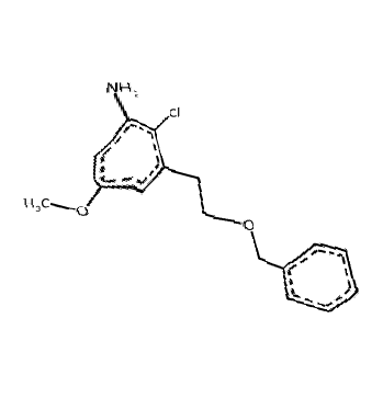 COc1cc(N)c(Cl)c(CCOCc2ccccc2)c1